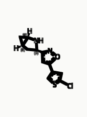 Clc1cc(-c2cc([C@H]3C[C@H]4C[C@H]4N3)no2)cs1